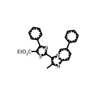 CCOC(=O)c1sc(-c2c(C)nc3ccc(-c4ccccc4)cn23)nc1-c1ccccc1